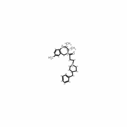 Cc1ccc2c(c1)CN(C(=O)CCN1CCC(Cc3ccccc3)CC1)[C@@H](C)[C@@H](C)S2